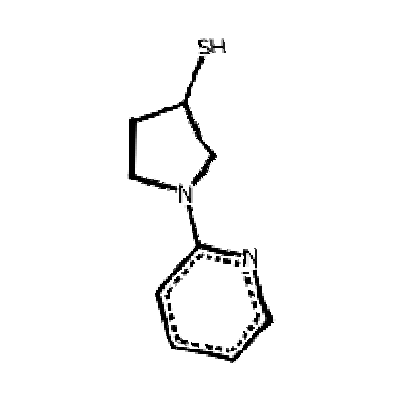 SC1CCN(c2ccccn2)C1